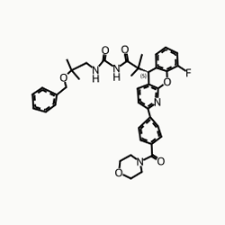 CC(C)(CNC(=O)NC(=O)C(C)(C)[C@@H]1c2ccc(-c3ccc(C(=O)N4CCOCC4)cc3)nc2Oc2c(F)cccc21)OCc1ccccc1